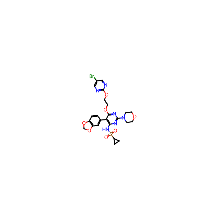 O=S(=O)(Nc1nc(N2CCOCC2)nc(OCCOc2ncc(Br)cn2)c1-c1ccc2c(c1)OCO2)C1CC1